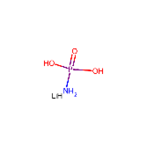 NP(=O)(O)O.[LiH]